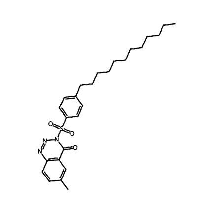 CCCCCCCCCCCCc1ccc(S(=O)(=O)n2nnc3ccc(C)cc3c2=O)cc1